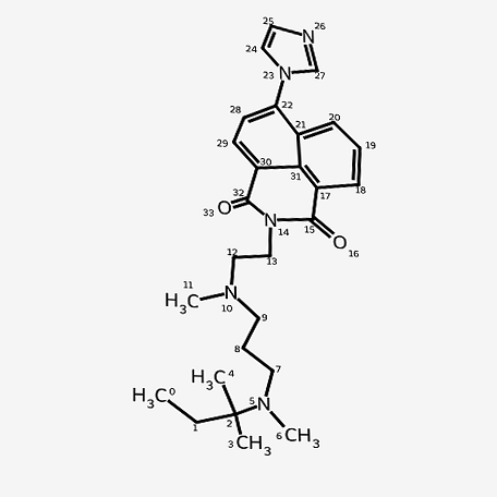 CCC(C)(C)N(C)CCCN(C)CCN1C(=O)c2cccc3c(-n4ccnc4)ccc(c23)C1=O